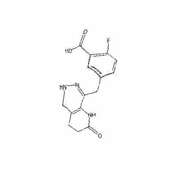 O=C1CCC2=C(N1)C(Cc1ccc(F)c(C(=O)O)c1)=NNC2